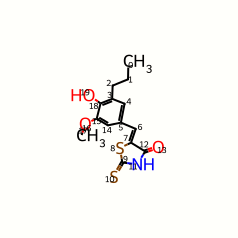 CCCc1cc(/C=C2\SC(=S)NC2=O)cc(OC)c1O